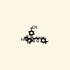 CC1(C)CCC(NC(=O)Cc2nc3cnc4[nH]ccc4c3n2[C@H]2CC[C@H](CC#N)CC2)CC1